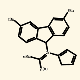 CCCC[C](CCCC)=[Zr]([C]1=CC=CC1)[CH]1c2ccc(C(C)(C)C)cc2-c2cc(C(C)(C)C)ccc21